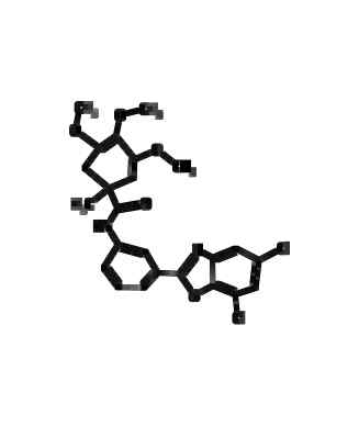 COC1=CC(C)(C(=O)Nc2cccc(-c3nc4cc(Cl)cc(Cl)c4o3)c2)CC(OC)=C1OC